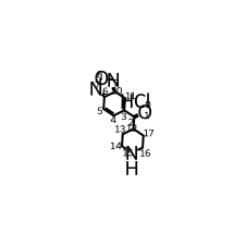 Cl.O=C(c1ccc2nonc2c1)C1CCNCC1